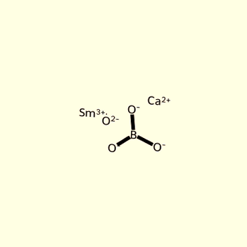 [Ca+2].[O-2].[O-]B([O-])[O-].[Sm+3]